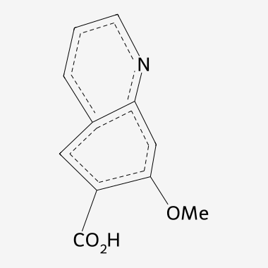 COc1cc2ncccc2cc1C(=O)O